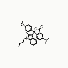 CCCCn1c(C)c(C2(c3ccc(OC)cc3)OC(=O)c3cc(N(C)C)ccc32)c2ccccc21